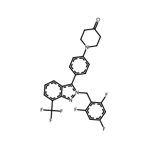 O=C1CCN(c2ccc(-c3c4cccc(C(F)(F)F)c4nn3Cc3c(F)cc(F)cc3F)cc2)CC1